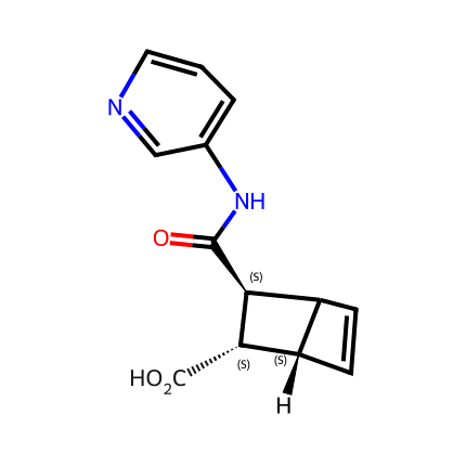 O=C(O)[C@H]1[C@H]2C=CC2[C@@H]1C(=O)Nc1cccnc1